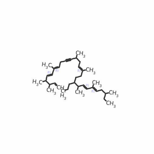 C=CC(C)C(C)/C=C/C(C)=C/CC#CC(C)C/C=C(\C)CCC(CCC)C(C)/C=C/C(C)=C/CC(C)CC